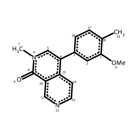 COc1cc(-c2cn(C)c(=O)c3cnccc23)ccc1C